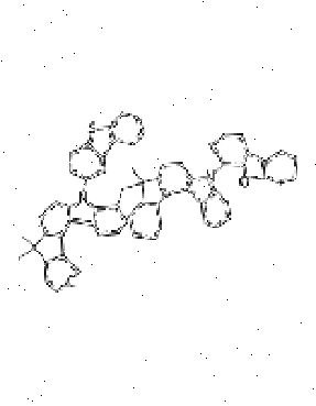 CC1(C)c2ccccc2-c2c1ccc1c2c2cccc(CC3(C)c4ccccc4-c4c3ccc3c4c4ccccc4n3-c3cccc4c3oc3ccccc34)c2n1-c1ccc2sc3ccccc3c2c1